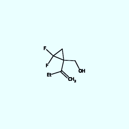 C=C(CC)C1(CO)CC1(F)F